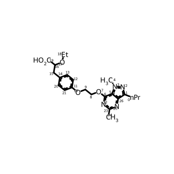 CCCc1nn(C)c2c(OCCOc3ccc(CC(OCC)C(=O)O)cc3)nc(C)nc12